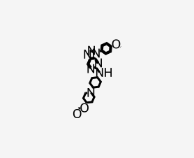 COc1ccc(-n2nnc3cnc(N[C@H]4CC[C@H](N5CCC(OC=O)CC5)CC4)nc32)cc1